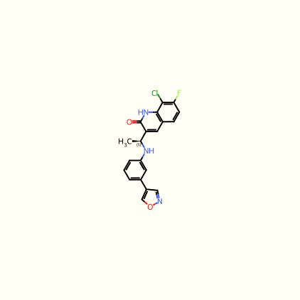 C[C@H](Nc1cccc(-c2cnoc2)c1)c1cc2ccc(F)c(Cl)c2[nH]c1=O